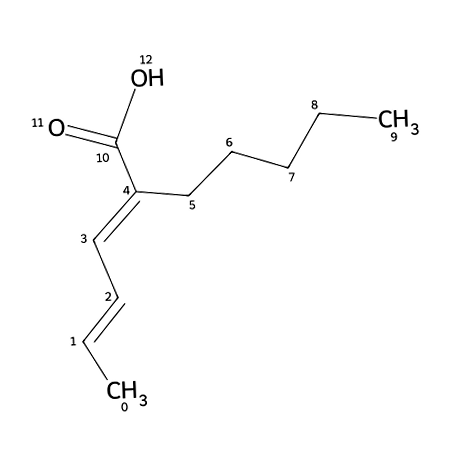 C/C=C/C=C(\CCCCC)C(=O)O